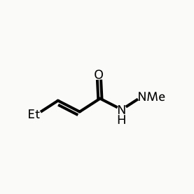 CCC=CC(=O)NNC